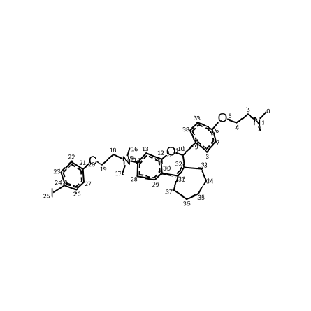 CN(C)CCOc1ccc(C2Oc3cc([N+](C)(C)CCOc4ccc(I)cc4)ccc3C3=C2CCCCC3)cc1